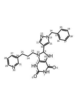 O=c1[nH]c2c(c(=O)[nH]1)NC(c1cnn(Cc3ccccc3)c1)N2CCCc1cccnc1